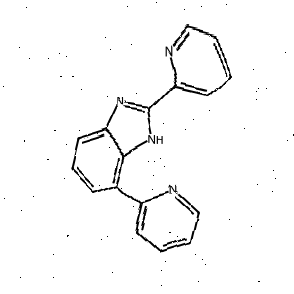 c1ccc(-c2nc3cccc(-c4ccccn4)c3[nH]2)nc1